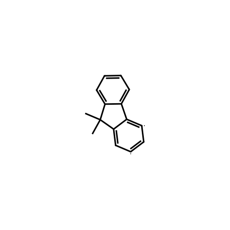 CC1(C)c2c[c]c[c]c2-c2ccccc21